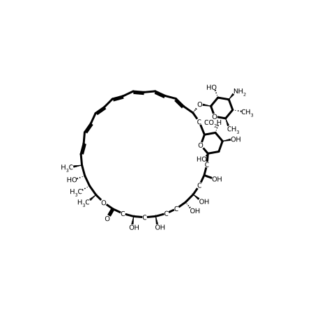 C[C@@H]1[C@H](O)[C@@H](C)/C=C/C=C/C=C/C=C/C=C/C=C/C=C/[C@H](O[C@@H]2O[C@H](C)[C@@H](C)[C@H](N)[C@H]2O)CC2O[C@](O)(CC(O)C[C@@H](O)[C@H](O)CC[C@@H](O)C[C@@H](O)CC(=O)O[C@H]1C)C[C@H](O)[C@H]2C(=O)O